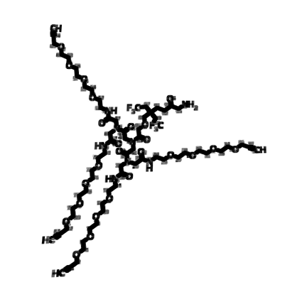 C#CCOCCOCCOCCOCCNC(=O)CN(CC(=O)NCCOCCOCCOCCOCC#C)C(=O)CN(CC(=O)N(CC(=O)NCCOCCOCCOCCOCC#C)CC(=O)NCCOCCOCCOCCOCC#C)C(=O)COCC(CCC(=O)CN)(CC(F)(F)F)CC(F)(F)F